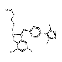 COCCCN[C@H]1Cc2c(Cl)cc(Cl)cc2[C@@H]1Oc1ccc(-n2c(C)nnc2C)cc1